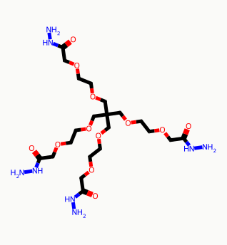 NNC(=O)COCCOCC(COCCOCC(=O)NN)(COCCOCC(=O)NN)COCCOCC(=O)NN